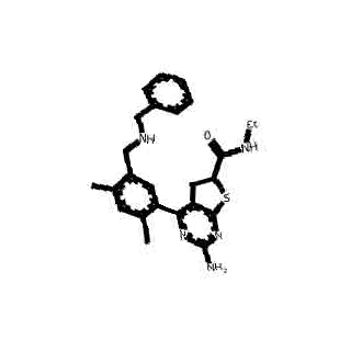 CCNC(=O)C1Cc2c(nc(N)nc2-c2cc(CNCc3ccccc3)c(C)cc2C)S1